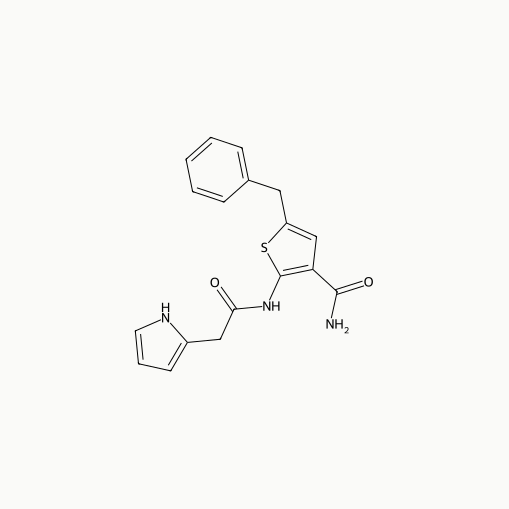 NC(=O)c1cc(Cc2ccccc2)sc1NC(=O)Cc1ccc[nH]1